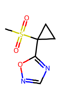 CS(=O)(=O)C1(c2ncno2)CC1